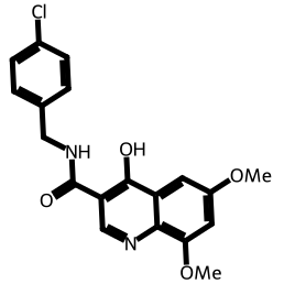 COc1cc(OC)c2ncc(C(=O)NCc3ccc(Cl)cc3)c(O)c2c1